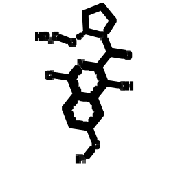 CC(C)Oc1ccc2c(Cl)nc(C(=O)N3CCC[C@H]3OC(=O)O)c(O)c2c1